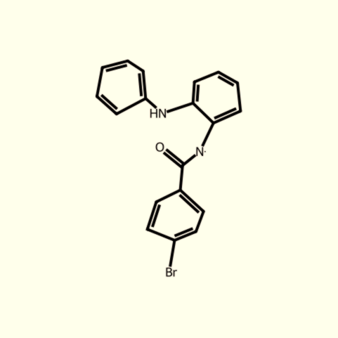 O=C([N]c1ccccc1Nc1ccccc1)c1ccc(Br)cc1